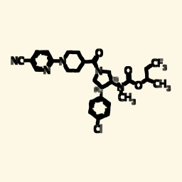 CC(CC(F)(F)F)OC(=O)N(C)[C@@H]1CN(C(=O)C2CCN(c3ccc(C#N)cn3)CC2)C[C@H]1c1ccc(Cl)cc1